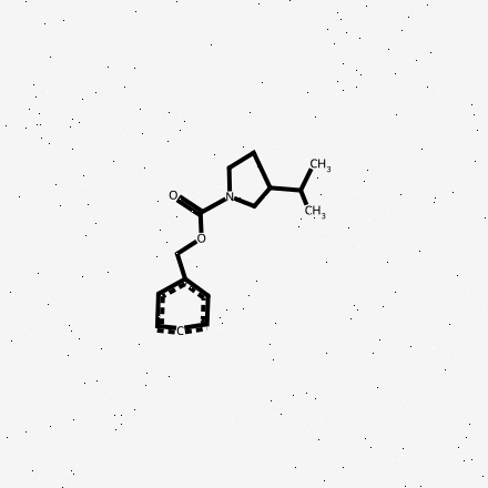 CC(C)C1CCN(C(=O)OCc2ccccc2)C1